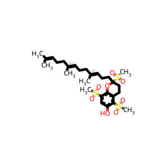 CC(C)=CCC/C(C)=C/CC/C(C)=C/CCC1(S(C)(=O)=O)CCc2c(c(S(C)(=O)=O)cc(O)c2S(C)(=O)=O)O1